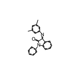 Cc1cc(C)cc(/N=C2\C(=O)N(c3ccccc3)c3ccccc32)c1